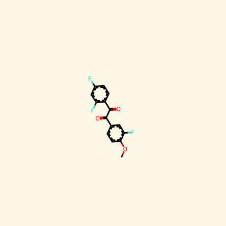 COc1ccc(C(=O)C(=O)c2ccc(F)cc2F)cc1F